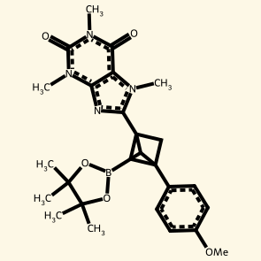 COc1ccc(C23CC(c4nc5c(c(=O)n(C)c(=O)n5C)n4C)(C2)C3B2OC(C)(C)C(C)(C)O2)cc1